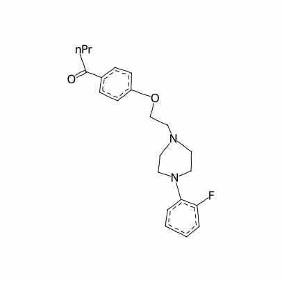 CCCC(=O)c1ccc(OCCN2CCN(c3ccccc3F)CC2)cc1